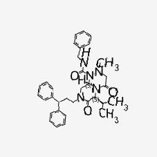 CC(C)[C@H]1C(=O)N(CCC(c2ccccc2)c2ccccc2)C[C@H]2N1C(=O)CN(C)N2C(=O)NCc1ccccc1